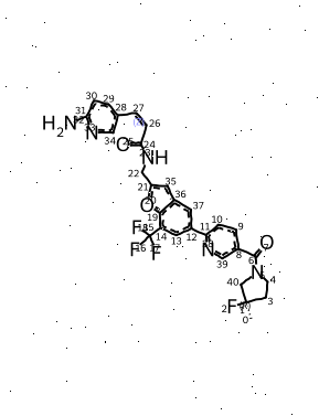 C[C@@]1(F)CCN(C(=O)c2ccc(-c3cc(C(F)(F)F)c4oc(CNC(=O)/C=C\c5ccc(N)nc5)cc4c3)nc2)C1